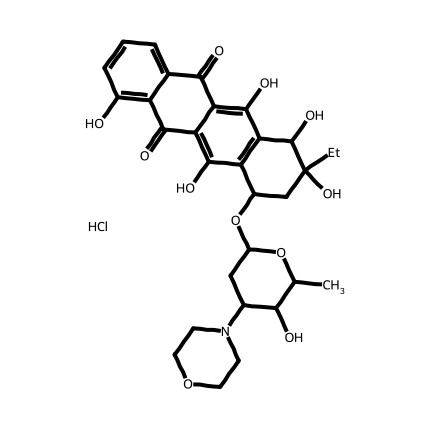 CCC1(O)CC(OC2CC(N3CCOCC3)C(O)C(C)O2)c2c(O)c3c(c(O)c2C1O)C(=O)c1cccc(O)c1C3=O.Cl